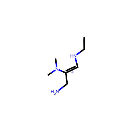 CCN/C=C(/CN)N(C)C